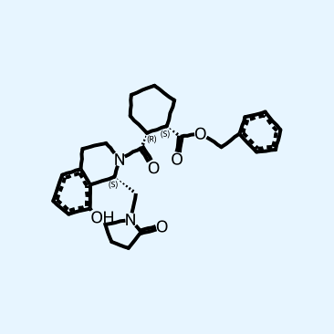 O=C(OCc1ccccc1)[C@H]1CCCC[C@H]1C(=O)N1CCc2cccc(O)c2[C@H]1CN1CCCC1=O